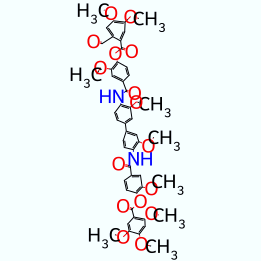 COc1cc(-c2ccc(NC(=O)c3ccc(OC(=O)c4cc(OC)c(OC)cc4OC)c(OC)c3)c(OC)c2)ccc1NC(=O)c1ccc(OC(=O)c2cc(OC)c(OC)cc2C=O)c(OC)c1